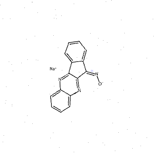 [Na+].[O-]/N=C1/c2ccccc2-c2nc3ccccc3nc21